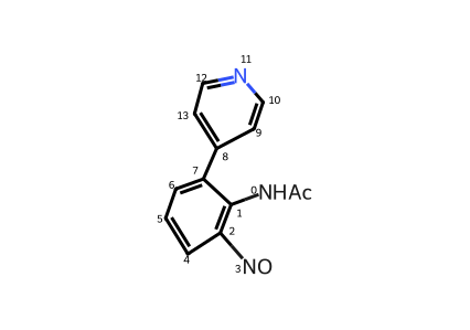 CC(=O)Nc1c(N=O)cccc1-c1ccncc1